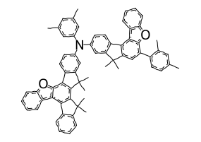 Cc1cc(C)cc(N(c2ccc3c(c2)C(C)(C)c2cc(-c4ccc(C)cc4C)c4oc5ccccc5c4c2-3)c2ccc3c(c2)C(C)(C)c2c4c(c5c(oc6ccccc65)c2-3)-c2ccccc2C4(C)C)c1